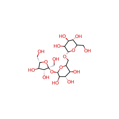 OCC1O[C@H](OCC2O[C@H](O[C@]3(CO)O[C@@H](CO)C(O)[C@H]3O)C(O)[C@@H](O)[C@@H]2O)C(O)[C@@H](O)[C@@H]1O